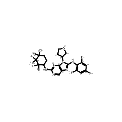 [2H]C1(O)CCC(Nc2ncc3nc(Nc4c(F)cc(F)cc4F)n(C4CCOC4)c3n2)C([2H])([2H])C1([2H])[2H]